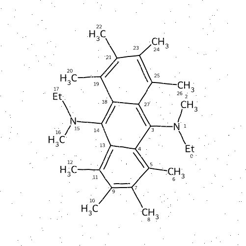 CCN(C)c1c2c(C)c(C)c(C)c(C)c2c(N(C)CC)c2c(C)c(C)c(C)c(C)c12